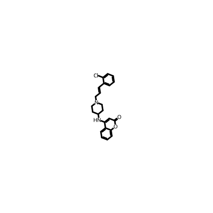 O=c1cc(NC2CCN(CC=Cc3ccccc3Cl)CC2)c2ccccc2o1